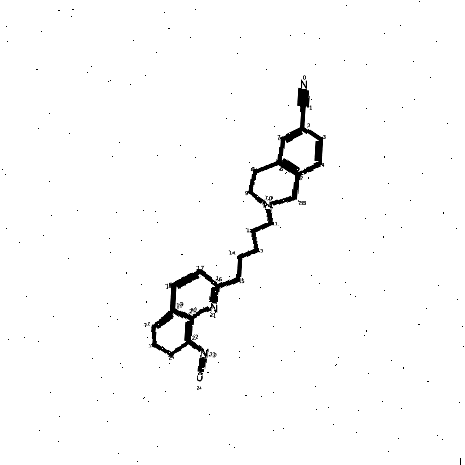 N#Cc1ccc2c(c1)CCN(CCCCCc1ccc3c(n1)=C(N=O)CCC=3)C2